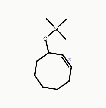 C[Si](C)(C)OC1/C=C\CCCCC1